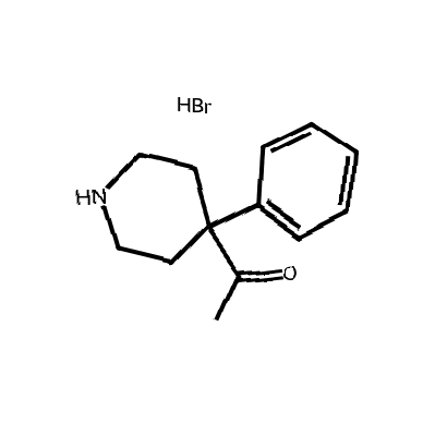 Br.CC(=O)C1(c2ccccc2)CCNCC1